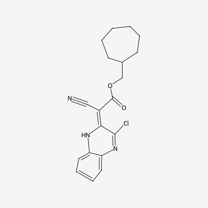 N#C/C(C(=O)OCC1CCCCCC1)=C1\Nc2ccccc2N=C1Cl